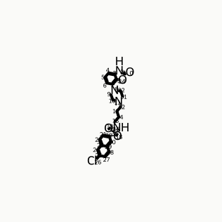 O=c1[nH]c2cccc(N3CCN(CCCCNS(=O)(=O)c4ccc5cc(Cl)ccc5c4)CC3)c2o1